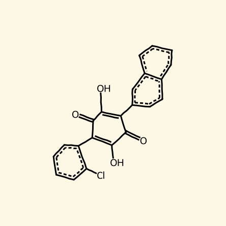 O=C1C(O)=C(c2ccccc2Cl)C(=O)C(O)=C1c1ccc2ccccc2c1